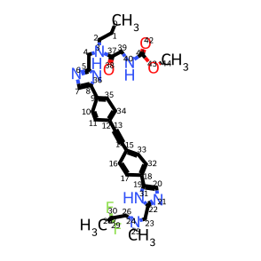 CCCN(Cc1ncc(-c2ccc(C#Cc3ccc(-c4cnc(CN(C)CC(C)(F)F)[nH]4)cc3)cc2)[nH]1)C(=O)CNC(=O)OC